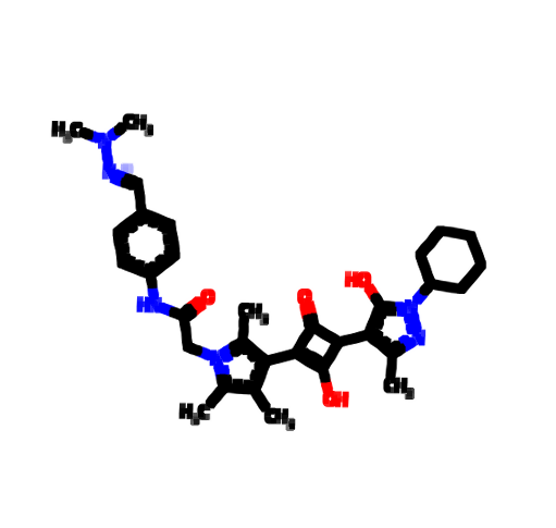 Cc1nn(C2CCCCC2)c(O)c1C1C(=O)C(c2c(C)c(C)n(CC(=O)Nc3ccc(/C=N/N(C)C)cc3)c2C)=C1O